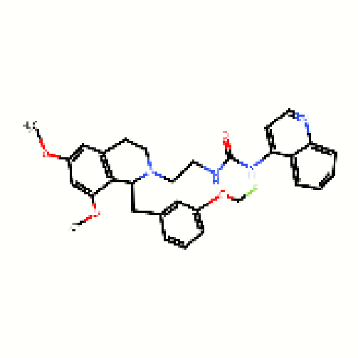 COc1cc2c(c(OC)c1)C(Cc1cccc(OCF)c1)N(CCNC(=O)Nc1ccnc3ccccc13)CC2